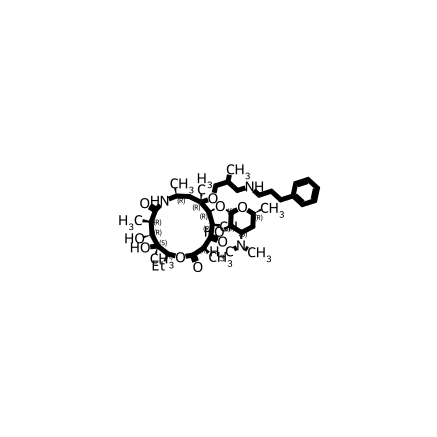 CC[C@H]1OC(=O)[C@H](C)C(=O)[C@H](C)[C@@H](O[C@@H]2O[C@H](C)C[C@H](N(C)C)[C@H]2O)[C@](C)(OCC(C)CNCCCc2ccccc2)C[C@@H](C)NC(=O)[C@H](C)[C@@H](O)[C@]1(C)O